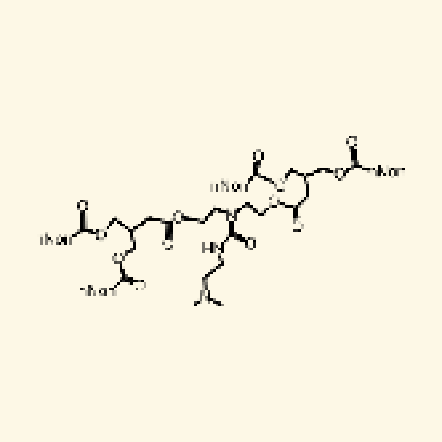 CCCCCCCCCC(=O)OCC(COC(=O)CCCCCCCCC)CC(=O)OCCN(CCOC(=O)CC(COC(=O)CCCCCCCCC)COC(=O)CCCCCCCCC)C(=O)NCCN(C)C